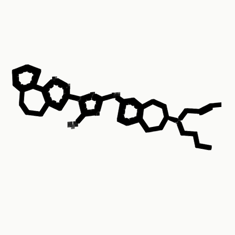 CC=CCN(CCCC)[C@H]1CCc2ccc(Nc3nc(N)n(-c4cc5c(nn4)-c4ccccc4CCC5)n3)cc2CC1